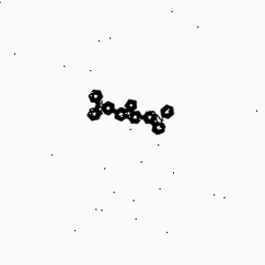 C1=CC2c3cc(-c4ccc5c(c4)C4(CCCC4)c4cc(-c6ccc7c(c6)c6ccccc6n7-c6ccccc6)ccc4-5)ccc3N(c3ccccc3)C2C=C1